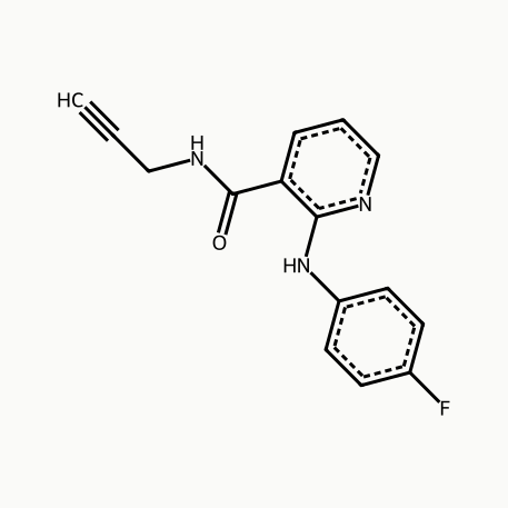 C#CCNC(=O)c1cccnc1Nc1ccc(F)cc1